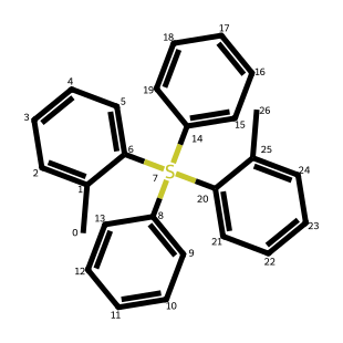 Cc1ccccc1S(c1ccccc1)(c1ccccc1)c1ccccc1C